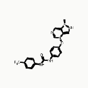 CN1NC=C2C1=CN=CN2Oc1ccc(NC(=O)Nc2ccc(C(F)(F)F)cc2)cc1